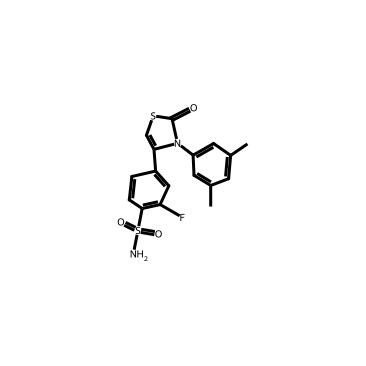 Cc1cc(C)cc(-n2c(-c3ccc(S(N)(=O)=O)c(F)c3)csc2=O)c1